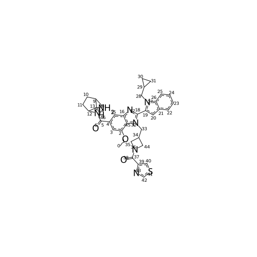 COc1cc(C(=O)N2CC3CCC2[C@@H]3N)cc2nc(-c3cc4ccccc4n3CC3CC3)n(CC3CN(C(=O)c4cscn4)C3)c12